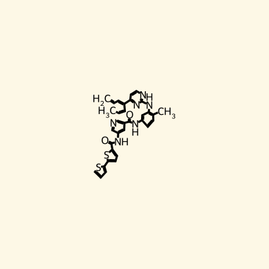 C=C/C=C(\C=C/C)c1ccnc(Nc2cc(NC(=O)c3cncc(NC(=O)c4ccc(-c5cccs5)s4)c3)ccc2C)n1